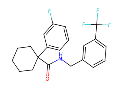 O=C(NCc1cccc(C(F)(F)F)c1)C1(c2cccc(F)c2)CCCCC1